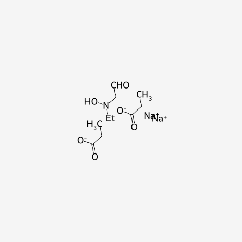 CCC(=O)[O-].CCC(=O)[O-].CCN(O)CC=O.[Na+].[Na+]